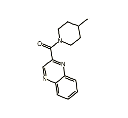 [CH2]C1CCN(C(=O)c2cnc3ccccc3n2)CC1